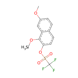 COc1ccc2ccc(OS(=O)(=O)C(F)(F)F)c(O[SiH3])c2c1